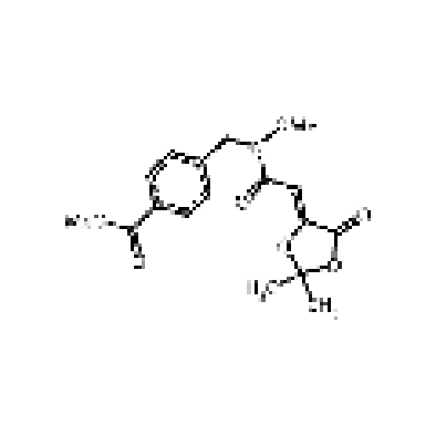 COC(=O)c1ccc(CN(OC)C(=O)/C=C2\OC(C)(C)OC2=O)cc1